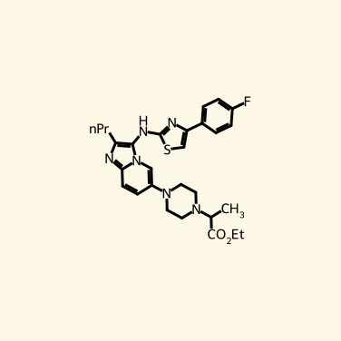 CCCc1nc2ccc(N3CCN(C(C)C(=O)OCC)CC3)cn2c1Nc1nc(-c2ccc(F)cc2)cs1